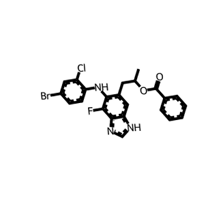 CC(Cc1cc2[nH]cnc2c(F)c1Nc1ccc(Br)cc1Cl)OC(=O)c1ccccc1